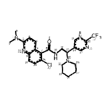 CN(C)c1ccc2c(C(=O)NCC(c3cnc(C(F)(F)F)nc3)N3CCCCC3)c(Cl)ccc2n1